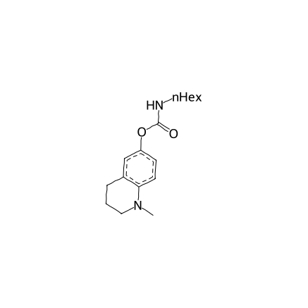 CCCCCCNC(=O)Oc1ccc2c(c1)CCCN2C